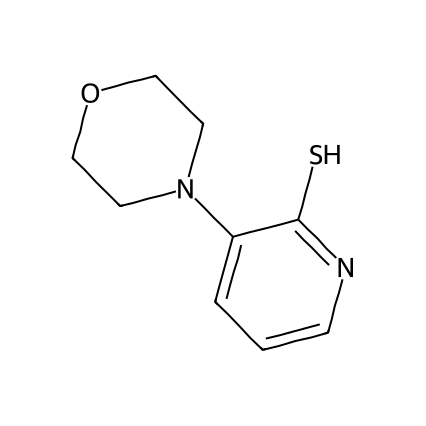 Sc1ncccc1N1CCOCC1